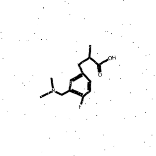 CC(Cc1ccc(F)c(CN(C)C)c1)C(=O)O